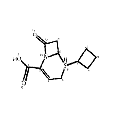 O=C(O)C1=CC[SH](C2CCC2)C2CC(=O)N12